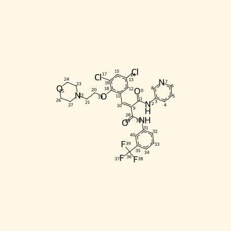 O=C(Nc1cccnc1)C(=Cc1cc(Cl)cc(Cl)c1OCCN1CCOCC1)C(=O)Nc1cccc(C(F)(F)F)c1